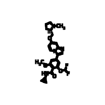 COc1cc(-c2cnc3cc(OC[C@@H]4CCCN4C)ccn23)cc(OC(F)F)c1C(=O)NC1CC1